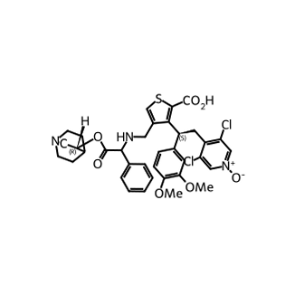 COc1ccc([C@H](Cc2c(Cl)c[n+]([O-])cc2Cl)c2c(CNC(C(=O)O[C@H]3CN4CCC3CC4)c3ccccc3)csc2C(=O)O)cc1OC